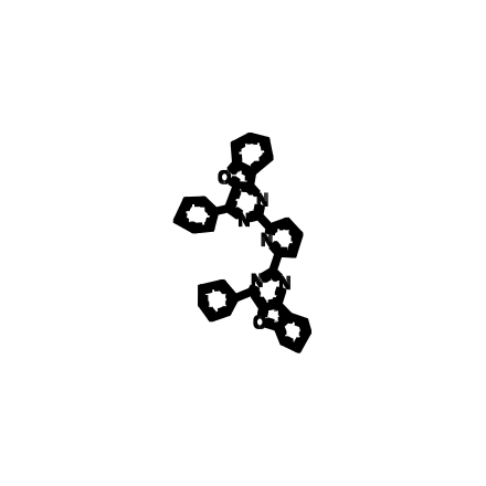 c1ccc(-c2nc(-c3cccc(-c4nc(-c5ccccc5)c5oc6ccccc6c5n4)n3)nc3c2oc2ccccc23)cc1